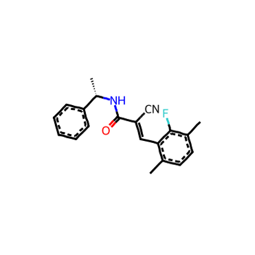 Cc1ccc(C)c(/C=C(\C#N)C(=O)N[C@@H](C)c2ccccc2)c1F